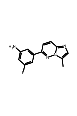 Cc1cnc2ccc(-c3cc(N)cc(F)c3)nn12